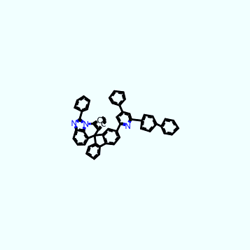 c1ccc(-c2ccc(-c3cc(-c4ccccc4)cc(-c4ccc5c(c4)C4(c6ccccc6-5)c5ccccc5-n5c(-c6ccccc6)nc6cccc4c65)n3)cc2)cc1